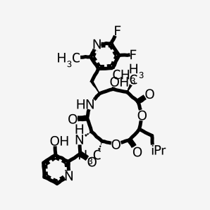 Cc1nc(F)c(F)c(C)c1C[C@@H]1NC(=O)[C@@H](NC(=O)c2ncccc2O)[C@@H](C)OC(=O)C(CC(C)C)OC(=O)[C@H](C)[C@@H]1O